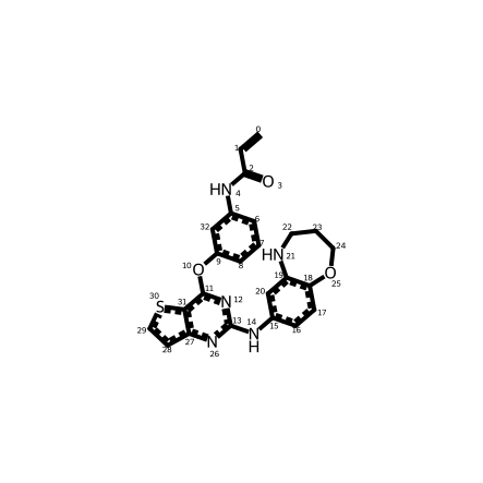 C=CC(=O)Nc1cccc(Oc2nc(Nc3ccc4c(c3)NCCCO4)nc3ccsc23)c1